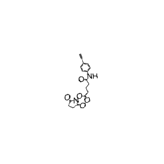 C#Cc1ccc(NC(=O)CCCC(=O)ON2C(=O)CCC2=O)cc1